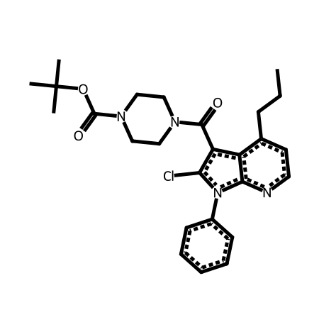 CCCc1ccnc2c1c(C(=O)N1CCN(C(=O)OC(C)(C)C)CC1)c(Cl)n2-c1ccccc1